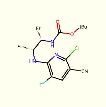 CC[C@H](NC(=O)OC(C)(C)C)[C@@H](C)Nc1nc(Cl)c(C#N)cc1F